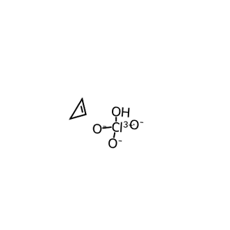 C1=CC1.[O-][Cl+3]([O-])([O-])O